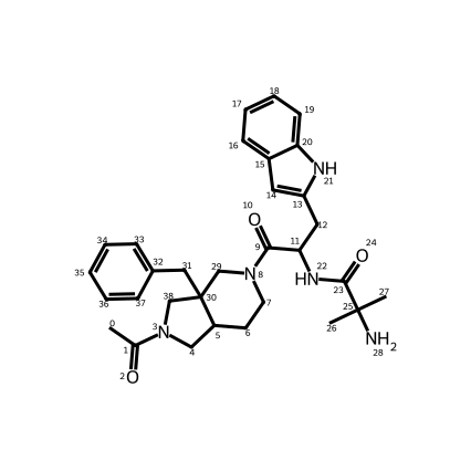 CC(=O)N1CC2CCN(C(=O)C(Cc3cc4ccccc4[nH]3)NC(=O)C(C)(C)N)CC2(Cc2ccccc2)C1